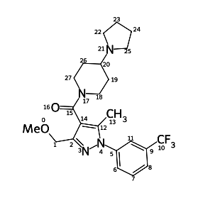 COCc1nn(-c2cccc(C(F)(F)F)c2)c(C)c1C(=O)N1CCC(N2CCCC2)CC1